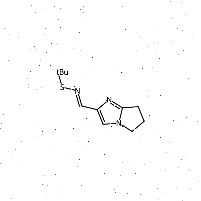 CC(C)(C)S/N=C/c1cn2c(n1)CCC2